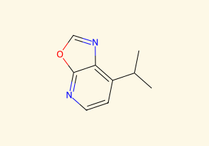 CC(C)c1ccnc2ocnc12